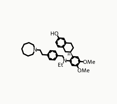 CCN(Cc1ccc(CCN2CCCCCCC2)cc1)c1cc(OC)c(OC)cc1[C@@H]1CCc2cc(O)ccc2C1